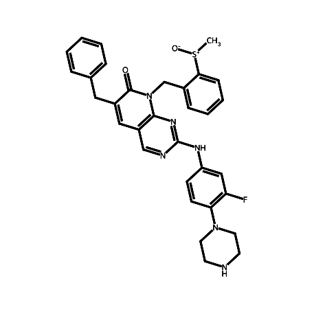 C[S+]([O-])c1ccccc1Cn1c(=O)c(Cc2ccccc2)cc2cnc(Nc3ccc(N4CCNCC4)c(F)c3)nc21